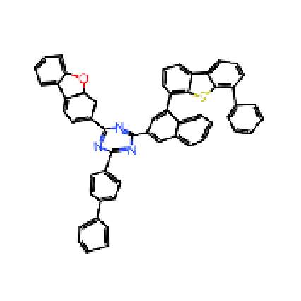 C1=C(c2nc(-c3ccc(-c4ccccc4)cc3)nc(-c3cc(-c4cccc5c4sc4c(-c6ccccc6)cccc45)c4ccccc4c3)n2)CC2Oc3ccccc3C2=C1